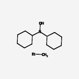 CCC.ON(C1CCCCC1)C1CCCCC1